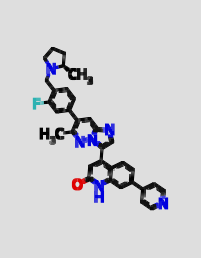 Cc1nn2c(-c3cc(=O)[nH]c4cc(-c5ccncc5)ccc34)cnc2cc1-c1ccc(CN2CCC[C@H]2C)c(F)c1